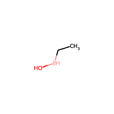 CCBO